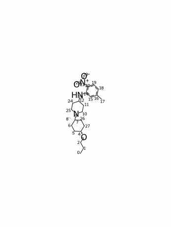 CCCO[C@H]1CC[C@@](C)(N2CCC(Nc3cc(C)ccc3[N+](=O)[O-])CC2)CC1